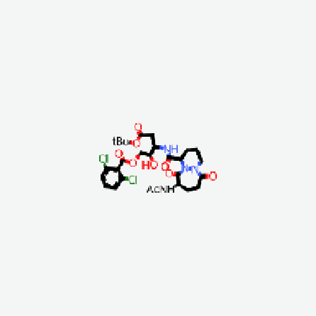 CC(=O)NC1CCC(=O)N2CCCC(C(=O)NC(CC(=O)OC(C)(C)C)C(O)COC(=O)c3c(Cl)cccc3Cl)N2C1=O